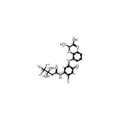 CC(Oc1ccccc1Oc1cc(NC(=O)CC(O)(O)C(F)(F)F)c(F)cc1Cl)C(=O)O